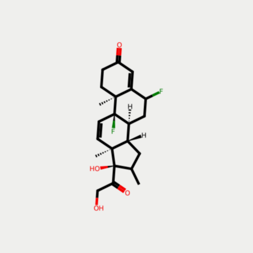 CC1C[C@H]2[C@@H]3CC(F)C4=CC(=O)CC[C@]4(C)[C@@]3(F)C=C[C@]2(C)[C@@]1(O)C(=O)CO